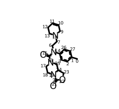 Cc1ccc(N(CCN2CC=CCC2)C(=O)N2CCN3C(=O)OCC3C2)cc1